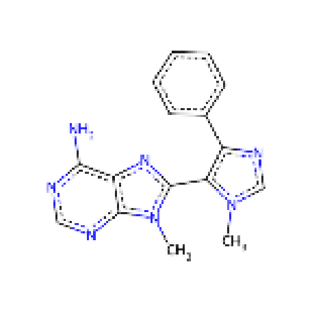 Cn1cnc(-c2ccccc2)c1-c1nc2c(N)ncnc2n1C